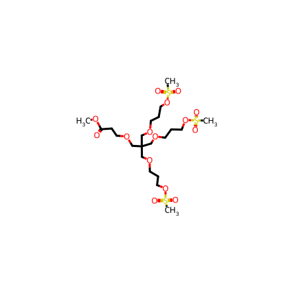 COC(=O)CCOCC(COCCCOS(C)(=O)=O)(COCCCOS(C)(=O)=O)COCCCOS(C)(=O)=O